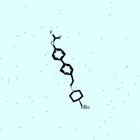 CCCC[C@H]1CC[C@H](CCc2ccc(-c3ccc(OC(F)F)cc3)cc2)CC1